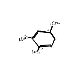 COC1=CC(C)CC=C1O